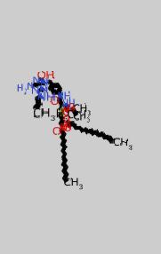 CCCCCCCCCCCCCCCC(=O)OCC(CSC[C@H](NC(=O)OC(C)(C)C)C(=O)Nc1ccc(Cn2c(O)nc3c(N)nc(NCCCC)nc32)cc1)OC(=O)CCCCCCCCCCCCCCC